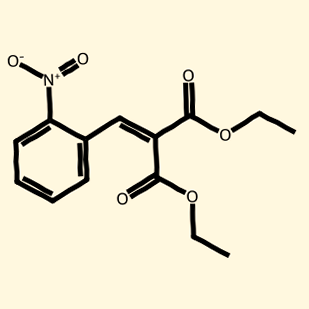 CCOC(=O)C(=Cc1ccccc1[N+](=O)[O-])C(=O)OCC